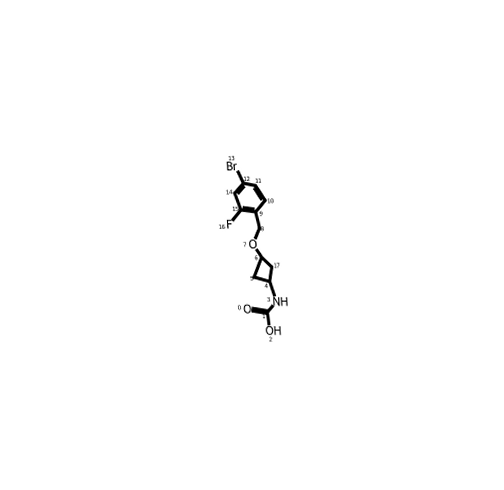 O=C(O)NC1CC(OCc2ccc(Br)cc2F)C1